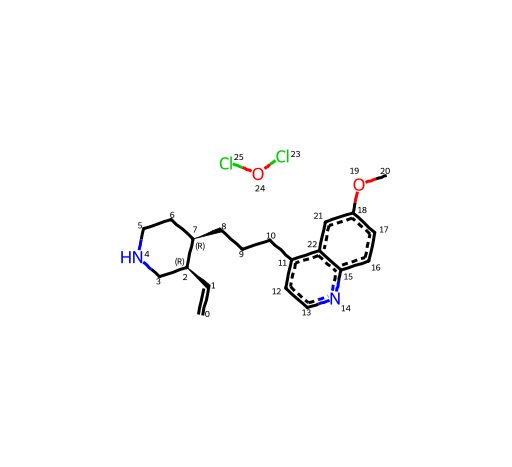 C=C[C@H]1CNCC[C@H]1CCCc1ccnc2ccc(OC)cc12.ClOCl